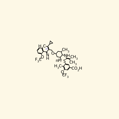 CCCC1CC(OC/C(C(=N)c2ccccc2OC(F)(F)F)=C(/C)C2CC2)CC(C)C1NC(Sc1cc(C(=O)O)cc(OC(F)(F)F)c1C)=C(C)C